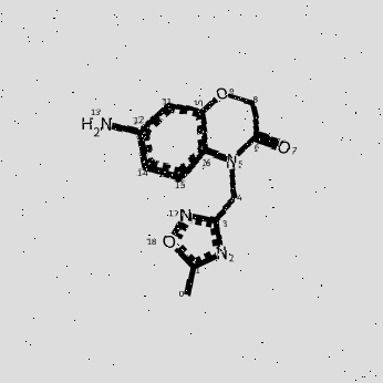 Cc1nc(CN2C(=O)COc3cc(N)ccc32)no1